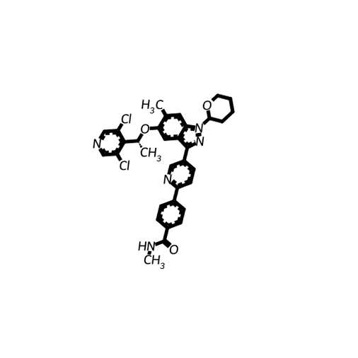 CNC(=O)c1ccc(-c2ccc(-c3nn(C4CCCCO4)c4cc(C)c(O[C@H](C)c5c(Cl)cncc5Cl)cc34)cn2)cc1